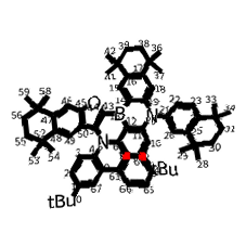 CC(C)(C)c1ccc(N2c3cc(C(C)(C)C)cc4c3B(c3cc5c(cc3N4c3ccc4c(c3)C(C)(C)CCC4(C)C)C(C)(C)CCC5(C)C)c3oc4cc5c(cc4c32)C(C)(C)CCC5(C)C)c(-c2ccccc2)c1